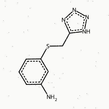 Nc1cccc(SCc2nnn[nH]2)c1